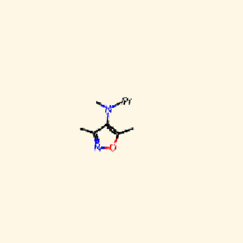 Cc1noc(C)c1N(C)C(C)C